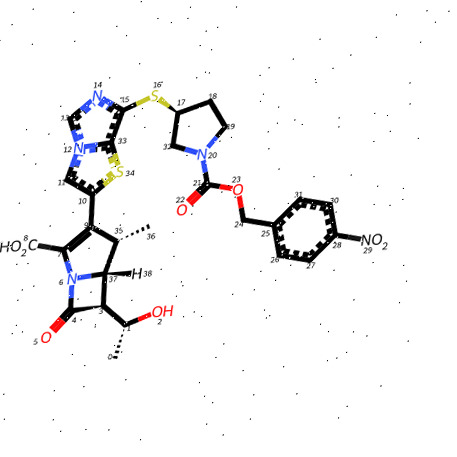 C[C@@H](O)[C@H]1C(=O)N2C(C(=O)O)=C(c3cn4cnc(S[C@H]5CCN(C(=O)OCc6ccc([N+](=O)[O-])cc6)C5)c4s3)[C@H](C)[C@H]12